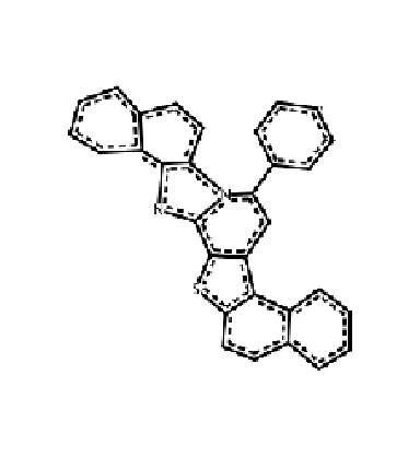 [c]1ccc(-c2cc3c(sc4ccc5ccccc5c43)c3nc4c5ccccc5ccc4n23)cc1